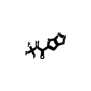 O=C(NC(F)(F)F)c1cc2c(s1)N=NC2